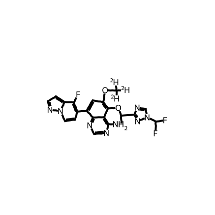 [2H]C([2H])([2H])Oc1cc(-c2ccn3nccc3c2F)c2ncnc(N)c2c1OC(C)c1ncn(C(F)F)n1